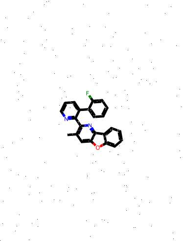 Cc1cc2oc3ccccc3c2nc1-c1ncccc1-c1ccccc1F